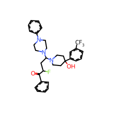 O=C(c1ccccc1)C(F)CC(N1CCN(c2ccccc2)CC1)N1CCC(O)(c2cccc(C(F)(F)F)c2)CC1